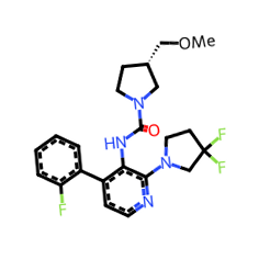 COC[C@H]1CCN(C(=O)Nc2c(-c3ccccc3F)ccnc2N2CCC(F)(F)C2)C1